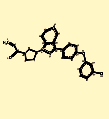 C=CC(=O)N1CC[C@H](n2nc(-c3ccc(Oc4cccc(Cl)c4)cc3)c3cnccc32)C1